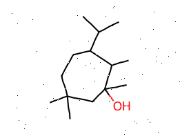 CC(C)C1CCC(C)(C)CC(C)(O)C1C